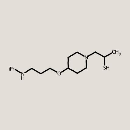 CC(S)CN1CCC(OCCCNC(C)C)CC1